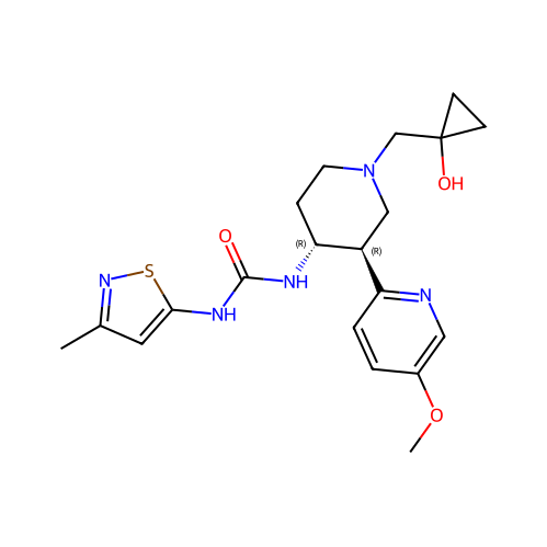 COc1ccc([C@@H]2CN(CC3(O)CC3)CC[C@H]2NC(=O)Nc2cc(C)ns2)nc1